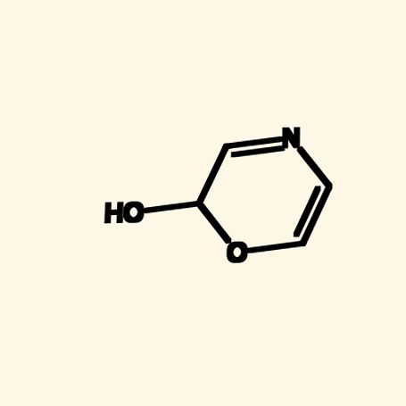 OC1C=NC=CO1